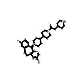 O=C(CC1CCNCC1)N1CCC(C2CC[N+](=C3c4ccc(Cl)cc4CCc4cc(Br)cnc43)CC2)CC1